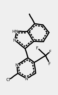 Cc1cccc2c(-c3nc(Cl)ncc3C(F)(F)F)n[nH]c12